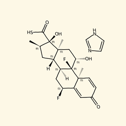 C[C@@H]1C[C@H]2[C@@H]3C[C@H](F)C4=CC(=O)C=C[C@]4(C)[C@@]3(F)[C@@H](O)C[C@]2(C)[C@@]1(O)C(=O)S.c1c[nH]cn1